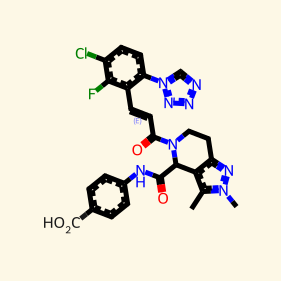 Cc1c2c(nn1C)CCN(C(=O)/C=C/c1c(-n3cnnn3)ccc(Cl)c1F)C2C(=O)Nc1ccc(C(=O)O)cc1